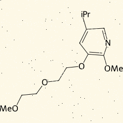 COCCOCCOc1cc(C(C)C)cnc1OC